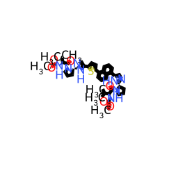 COC(=O)N[C@H](C(=O)N1CCC[C@H]1c1ncc(-c2ccc(-c3cccc4c(-c5cnc([C@@H]6CCCN6C(=O)[C@@H](NC(=O)OC)C(C)C)[nH]5)cccc34)s2)[nH]1)C(C)C